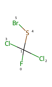 FC(Cl)(Cl)SBr